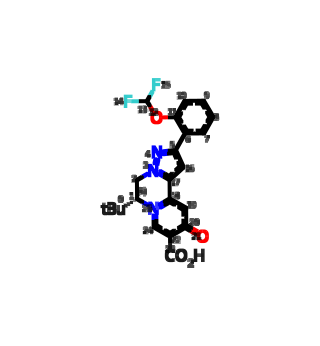 CC(C)(C)[C@@H]1Cn2nc(-c3ccccc3OC(F)F)cc2-c2cc(=O)c(C(=O)O)cn21